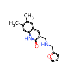 Cc1cc2cc(CNCc3ccco3)c(=O)[nH]c2cc1C